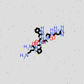 C[C@@H](C(=O)N[C@@H](Cc1c[nH]c2ccccc12)C(=O)N[C@H](Cc1ccccc1)C(=O)N[C@@H](CCCCN)C(N)=O)N1CC[C@H](NC(=O)[C@@H](N)Cc2c[nH]cn2)C1=O